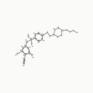 CCCCC1CCC(CCc2ccc(C(F)(F)Oc3cc(F)c(C#N)c(F)c3)cc2)CC1